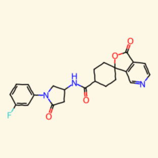 O=C1OC2(CCC(C(=O)NC3CC(=O)N(c4cccc(F)c4)C3)CC2)c2cnccc21